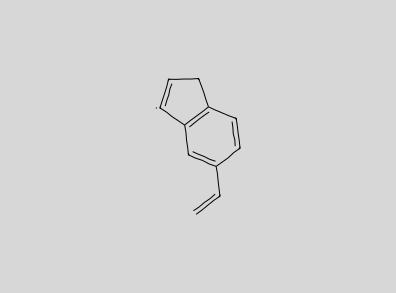 C=Cc1ccc2c(c1)[C]=CC2